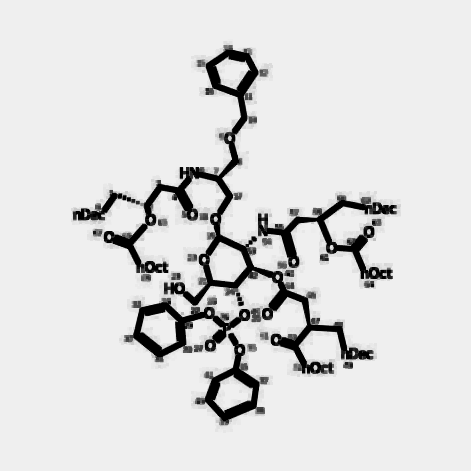 CCCCCCCCCCC[C@H](CC(=O)N[C@@H](COCc1ccccc1)CO[C@@H]1O[C@H](CO)[C@@H](OP(=O)(Oc2ccccc2)Oc2ccccc2)[C@H](OC(=O)C[C@@H](CCCCCCCCCCC)C(=O)CCCCCCCC)[C@H]1NC(=O)C[C@@H](CCCCCCCCCCC)OC(=O)CCCCCCCC)OC(=O)CCCCCCCC